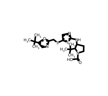 CC(C)(C)c1cnc(CSc2cnc(NC3CCN(C(=O)O)C3C(C)(C)C)s2)o1